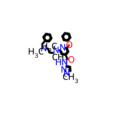 CC(CCN(C)Cc1ccccc1)N(C)c1cc(C(=O)Nc2ccn(C)n2)cc(Oc2ccccc2)n1